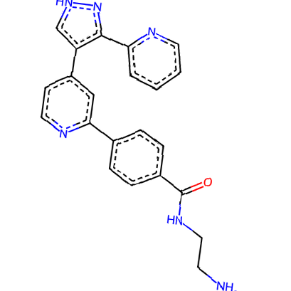 NCCNC(=O)c1ccc(-c2cc(-c3c[nH]nc3-c3ccccn3)ccn2)cc1